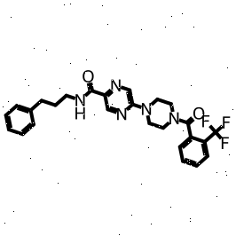 O=C(NCCCc1ccccc1)c1cnc(N2CCN(C(=O)c3ccccc3C(F)(F)F)CC2)cn1